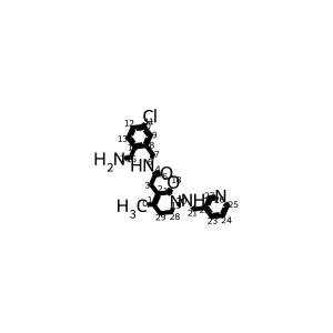 CC1=C(CC(=O)NCc2cc(Cl)ccc2CN)C(=O)N(NCc2cccnc2)CC1